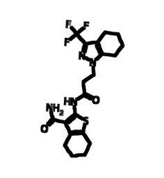 NC(=O)c1c(NC(=O)CCn2nc(C(F)(F)F)c3c2CCCC3)sc2c1CCCC2